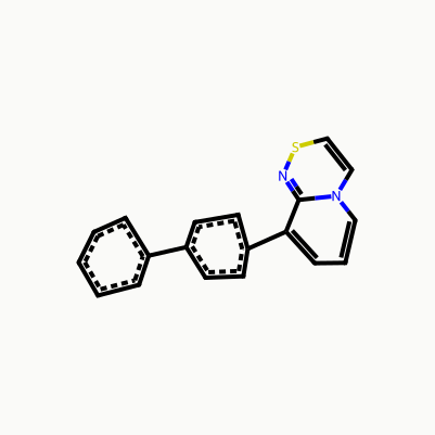 C1=CN2C=CSN=C2C(c2ccc(-c3ccccc3)cc2)=C1